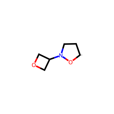 [CH]1CCN(C2COC2)O1